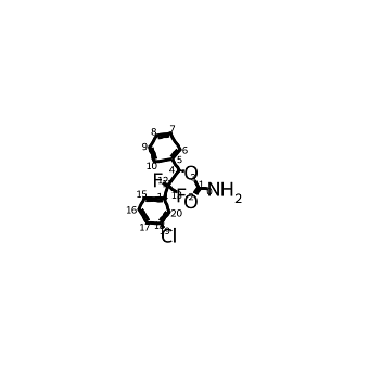 NC(=O)O[C@H](c1ccccc1)C(F)(F)c1cccc(Cl)c1